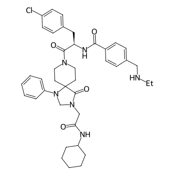 CCNCc1ccc(C(=O)N[C@H](Cc2ccc(Cl)cc2)C(=O)N2CCC3(CC2)C(=O)N(CC(=O)NC2CCCCC2)CN3c2ccccc2)cc1